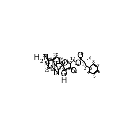 C[C@H](Cc1ccccc1)C(=O)OC[C@H]1O[C@@](C#N)(c2ccc3c(N)ncnn23)[C@H](O)C1=O